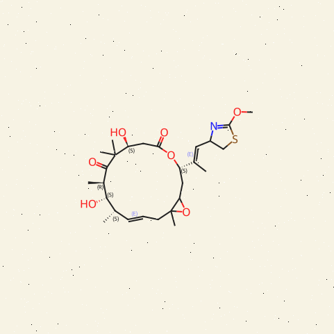 COC1=NC(/C=C(\C)[C@@H]2CC3OC3(C)C/C=C/[C@H](C)[C@H](O)[C@@H](C)C(=O)C(C)(C)[C@@H](O)CC(=O)O2)CS1